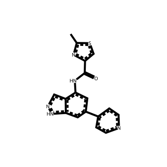 Cc1nc(C(=O)Nc2cc(-c3ccncc3)cc3[nH]ncc23)cs1